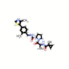 Cc1cc(-c2scnc2C)ccc1CNC(=O)[C@@H]1CCCN1C(=O)C(NC(=O)C1(C#N)CC1)C(C)(C)C